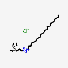 CCCCCCCCCCCCCCCCCC[N+](C)(C)CCC[Si](CC)(CC)CC.[Cl-]